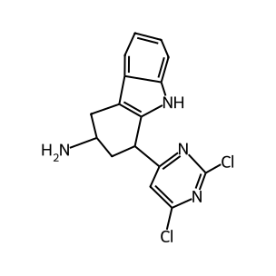 NC1Cc2c([nH]c3ccccc23)C(c2cc(Cl)nc(Cl)n2)C1